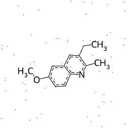 CCc1cc2cc(OC)ccc2nc1C